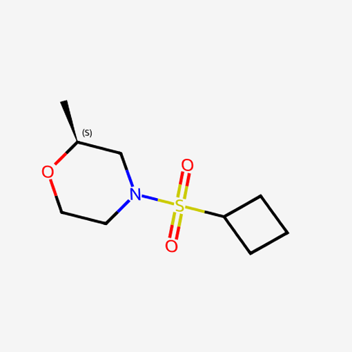 C[C@H]1CN(S(=O)(=O)C2CCC2)CCO1